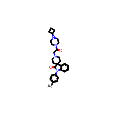 CC(=O)c1ccc(N2C(=O)C3(CCN(CC(=O)N4CCN(C5CCC5)CC4)CC3)c3ccccc32)cc1